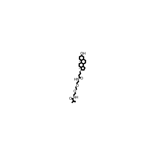 C=C(C)C(=O)NCCOCCOCCNC(=O)CCC[C@H]1CCC2C3CCC4C[C@H](O)CC[C@]4(C)C3CC[C@@]21C